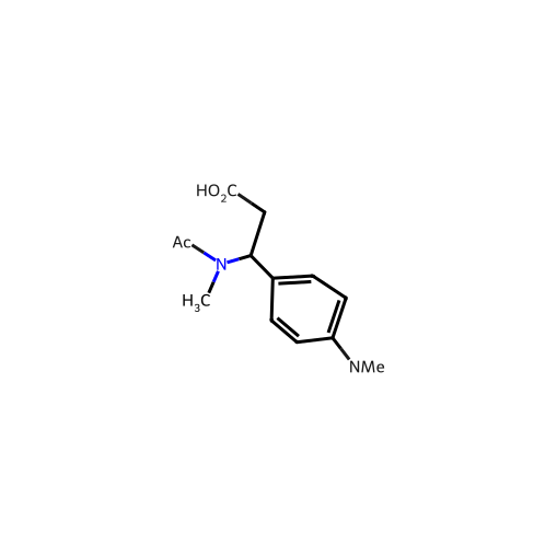 CNc1ccc(C(CC(=O)O)N(C)C(C)=O)cc1